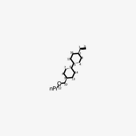 C=C[C@H]1CC[C@H]([C@H]2CC[C@H](COCCC)CC2)CC1